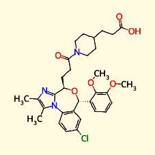 COc1cccc([C@H]2O[C@H](CCC(=O)N3CCC(CCC(=O)O)CC3)c3nc(C)c(C)n3-c3ccc(Cl)cc32)c1OC